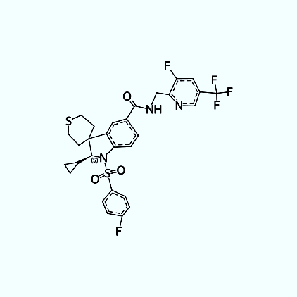 O=C(NCc1ncc(C(F)(F)F)cc1F)c1ccc2c(c1)C1(CCSCC1)[C@H](C1CC1)N2S(=O)(=O)c1ccc(F)cc1